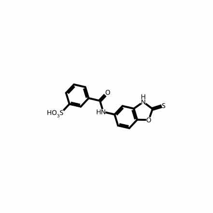 O=C(Nc1ccc2oc(=S)[nH]c2c1)c1cccc(S(=O)(=O)O)c1